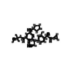 COC(C)(C)CNC1=CC(NC2CCCC2)=N/C(=C(/C=N)c2ccc(C(=O)NC3CC3)c(C)c2)N1